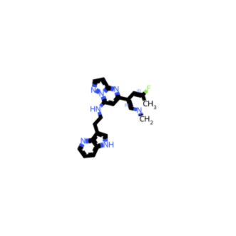 C=N/C=C(\C=C(/C)F)c1cc(NCCc2c[nH]c3cccnc23)n2nccc2n1